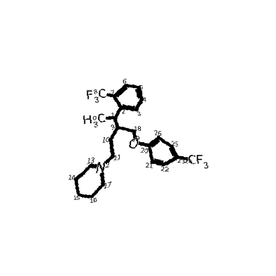 CC(c1ccccc1C(F)(F)F)C(CCN1CCCCC1)COc1ccc(C(F)(F)F)cc1